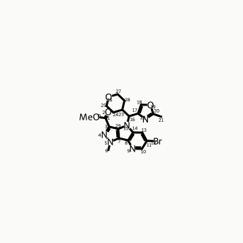 COC(=O)c1nn(C)c2c3ncc(Br)cc3n(C(c3coc(C)n3)C3CCOCC3)c12